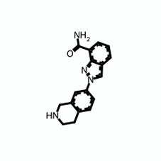 NC(=O)c1cccc2cn(-c3ccc4c(c3)CNCC4)nc12